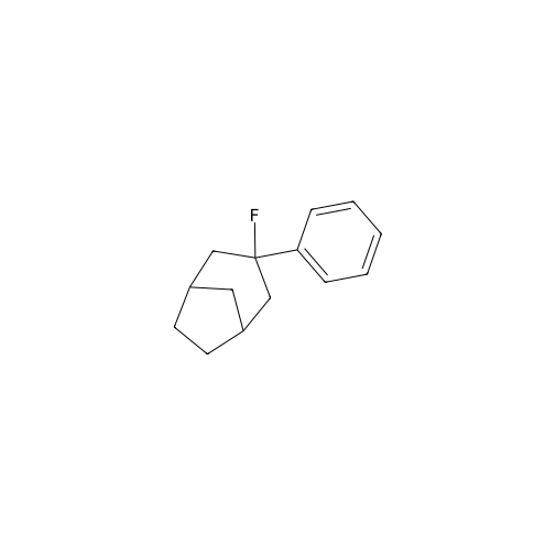 FC1(c2ccccc2)CC2CCC(C2)C1